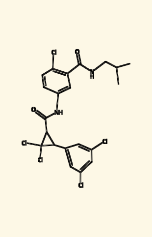 CC(C)CNC(=O)c1cc(NC(=O)C2C(c3cc(Cl)cc(Cl)c3)C2(Cl)Cl)ccc1Cl